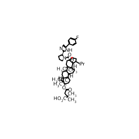 CC(C)C1CC[C@]2(C(=O)N3CCC[C@H]3c3ncc(-c4ccc(F)cc4)[nH]3)CC[C@]3(C)[C@H](CC[C@@H]4[C@@]5(C)CC[C@H](OC(=O)CC(C)(C)C(=O)O)C(C)(C)[C@@H]5CC[C@]43C)[C@@H]12